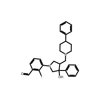 O=Cc1cccc(N2CC(CN3CCC(c4ccccc4)CC3)C(O)(c3ccccc3)C2)c1I